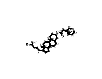 CCC(CC[C@@H](C)C1CCC2C3CC=C4CC(OC(=O)CC5CN6CCC5CC6)CCC4(C)C3CCC21C)C(C)C